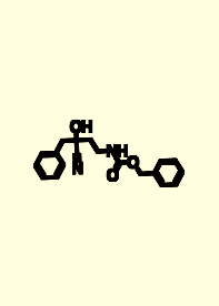 N#CC(O)(CCNC(=O)OCc1ccccc1)Cc1ccccc1